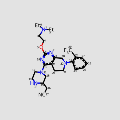 CCN(CC)CCOc1nc2c(c(N3CCNC(CC#N)C3)n1)CCN(c1ccccc1C(F)(F)F)C2